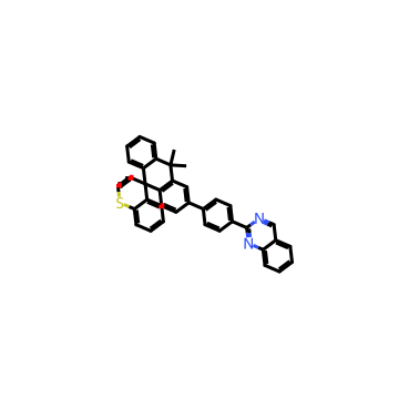 CC1(C)c2ccccc2C2(c3ccccc3Sc3ccccc32)c2ccc(-c3ccc(-c4ncc5ccccc5n4)cc3)cc21